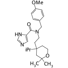 COc1ccc(CN(CCC2(C(C)C)CCOC(C)(C)C2)C(=O)c2cnc[nH]2)cc1